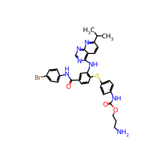 CC(C)c1ccc2c(Nc3cc(C(=O)Nc4ccc(Br)cc4)ccc3Sc3ccc(NC(=O)OCCCN)cc3)ncnc2n1